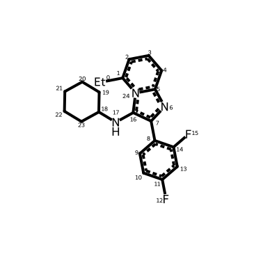 CCc1cccc2nc(-c3ccc(F)cc3F)c(NC3CCCCC3)n12